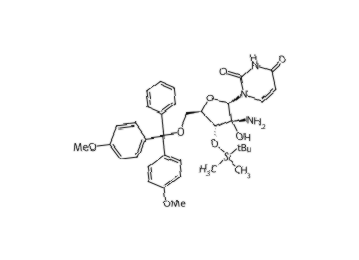 COc1ccc(C(OC[C@H]2O[C@@H](n3ccc(=O)[nH]c3=O)[C@](N)(O)[C@@H]2O[Si](C)(C)C(C)(C)C)(c2ccccc2)c2ccc(OC)cc2)cc1